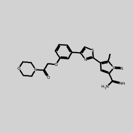 CC1=C(c2nc(-c3cccc(OCC(=O)N4CCOCC4)c3)cs2)C=C(C(=N)N)S1=S